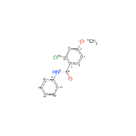 COc1ccc(C(=O)Nc2ccccc2)c(Cl)c1